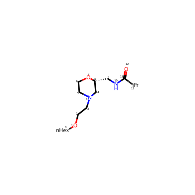 CCCCCCOCCN1CCO[C@H](CNC(=O)C(C)C)C1